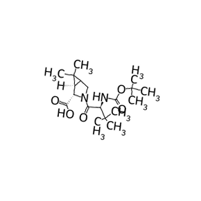 CC(C)(C)OC(=O)N[C@H](C(=O)N1CC2[C@@H]([C@H]1C(=O)O)C2(C)C)C(C)(C)C